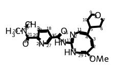 COc1ccc(C2CCOCC2)cnc(NC(=O)c2ccc(C(=O)N(C)C)nc2)[nH]c1